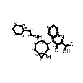 O=C(O)c1nc2ccccc2n([C@@H]2C[C@@H](NCCC3CCCCC3)CCC3C[C@H]3C2)c1=O